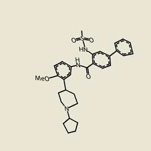 COc1ccc(NC(=O)c2ccc(-c3ccccc3)cc2NS(C)(=O)=O)cc1C1CCN(C2CCCC2)CC1